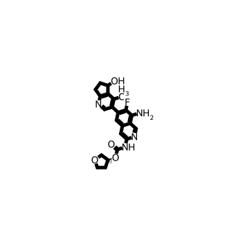 Cc1c(-c2cc3cc(NC(=O)O[C@@H]4CCOC4)ncc3c(N)c2F)cnc2c1C(O)CC2